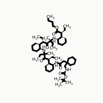 CCCCOC(=O)[C@@H](CC)[C@@H]1CCCC[C@@H]1N[C@](C)(CC)C(=O)[C@@H](CC)[C@@H]1CCCC[C@@H]1NC(C)(CC)C(=O)[C@@H](CC)[C@@H]1CCCC[C@@H]1NC(=O)CC1(CNC(=O)OC(C)(C)C)CCCCC1